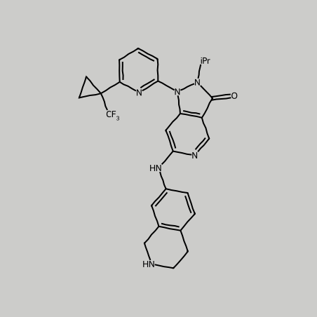 CC(C)n1c(=O)c2cnc(Nc3ccc4c(c3)CNCC4)cc2n1-c1cccc(C2(C(F)(F)F)CC2)n1